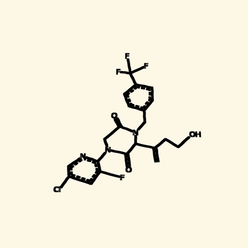 C=C(CCO)C1C(=O)N(c2ncc(Cl)cc2F)CC(=O)N1Cc1ccc(C(F)(F)F)cc1